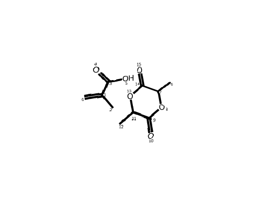 C=C(C)C(=O)O.CC1OC(=O)C(C)OC1=O